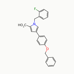 O=C(O)c1cc(-c2ccc(OCc3ccccc3)cc2)cn1Cc1ccccc1F